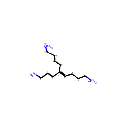 NCCC/C=C(/CCCN)CCCCN